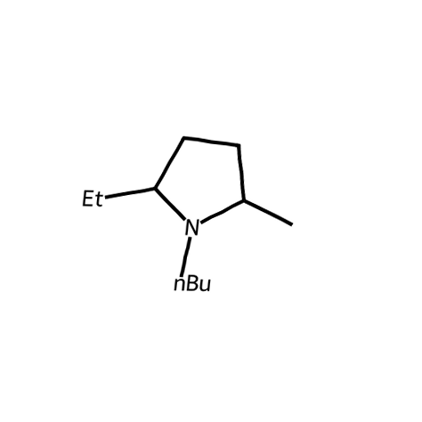 CCCCN1C(C)CCC1CC